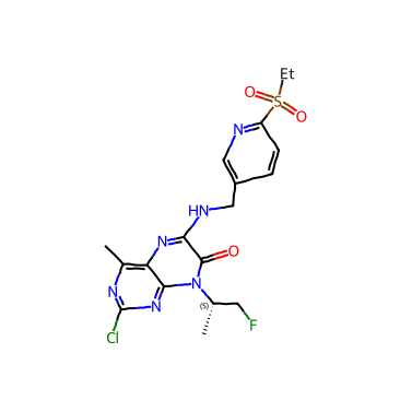 CCS(=O)(=O)c1ccc(CNc2nc3c(C)nc(Cl)nc3n([C@@H](C)CF)c2=O)cn1